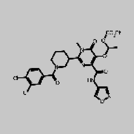 CCOC(=O)OC(C)Oc1c(C(=O)Nc2cnoc2)nc(C2CCCN(C(=O)c3ccc(Cl)c(Cl)c3)C2)n(C)c1=O